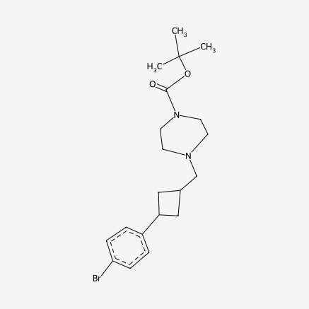 CC(C)(C)OC(=O)N1CCN(CC2CC(c3ccc(Br)cc3)C2)CC1